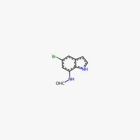 O=CNc1cc(Br)cc2cc[nH]c12